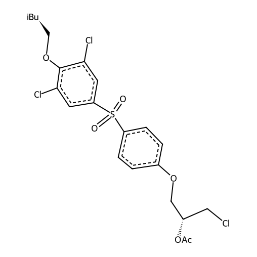 CC[C@H](C)COc1c(Cl)cc(S(=O)(=O)c2ccc(OC[C@H](CCl)OC(C)=O)cc2)cc1Cl